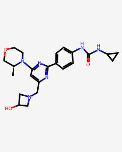 C[C@H]1COCCN1c1cc(CN2CC(O)C2)nc(-c2ccc(NC(=O)NC3CC3)cc2)n1